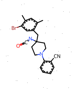 Cc1cc(C)c(CC2(N=C=O)CCN(c3ccccc3C#N)CC2)cc1Br